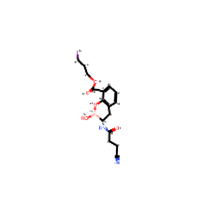 N#CCCC(=O)N[C@H]1Cc2cccc(C(=O)OCCCI)c2OB1O